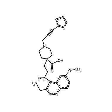 COc1ccc2ncc(CN)c([C@@H](F)CCC3(C(=O)O)CCN(CC#Cc4cccs4)CC3)c2c1